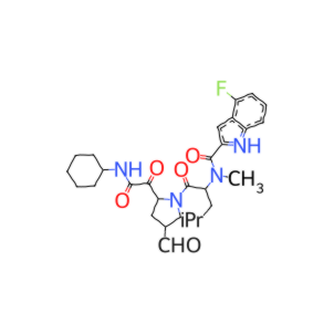 CC(C)CC(C(=O)N1CC(C=O)CC1C(=O)C(=O)NC1CCCCC1)N(C)C(=O)c1cc2c(F)cccc2[nH]1